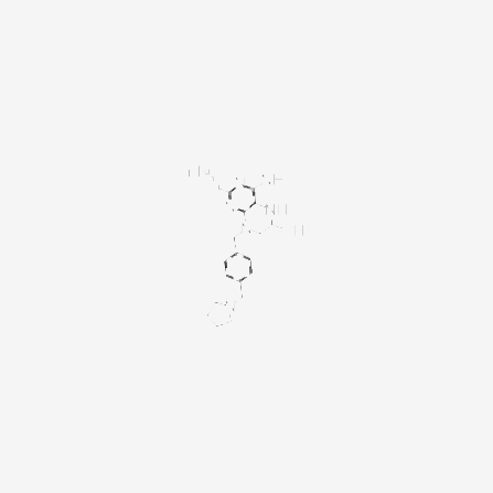 CCCCOc1nc(N)c2c(n1)N(Cc1ccc(CN3CCCC3)cc1)CC(O)N2